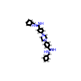 N=C(NCc1ccccc1)c1ccc(N2CCN(c3ccc(C(=N)NCc4ccccc4)cc3)CC2)cc1